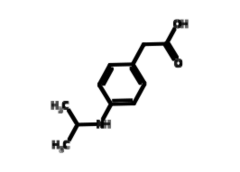 CC(C)Nc1ccc(CC(=O)O)cc1